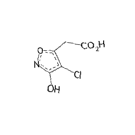 O=C(O)Cc1onc(O)c1Cl